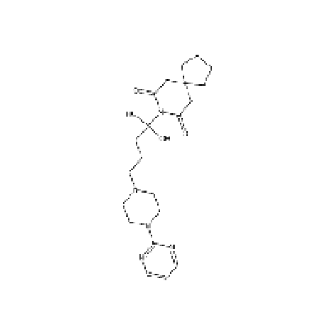 O=C1CC2(CCCC2)CC(=O)N1C(O)(O)CCCN1CCN(c2ncccn2)CC1